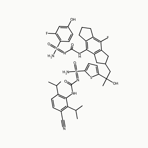 CC(C)c1ccc(C#N)c(C(C)C)c1NC(=O)N=S(N)(=O)c1ccc(C(C)(O)CC2Cc3c(F)c4c(c(NC(=O)N=S(N)(=O)c5ccc(O)cc5F)c3C2)CCC4)s1